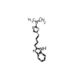 CN(C)c1ncc(/C=C/C=C/c2nc3ccccc3[nH]2)s1